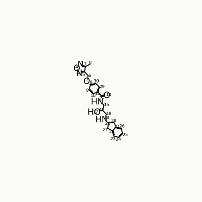 Cc1nonc1COc1ccc(C(=O)NCC(O)CNC2Cc3ccccc3C2)cc1